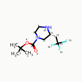 CC(C)(C)OC(=O)N1CCN[C@H](CC(F)(F)F)C1